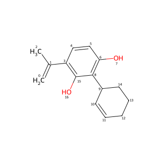 C=C(C)c1ccc(O)c(C2C=CCCC2)c1O